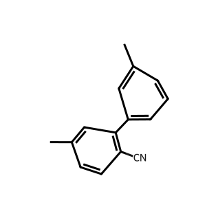 Cc1cccc(-c2cc(C)ccc2C#N)c1